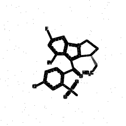 CC(C)c1cc(F)cc2c1c(C(=O)c1ccc(Cl)cc1S(C)(=O)=O)c1n2CC[C@@H]1CC(=O)O